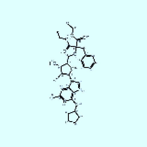 CCOC(=O)C(Cc1ccccc1)(OC[C@H]1O[C@@H](n2cnc3c(SC4CCCC4)nc(Cl)nc32)[C@@H](F)[C@@H]1O)C(=O)OCC